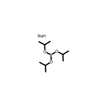 CC(C)OB(OC(C)C)OC(C)C.[NaH]